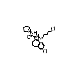 O=C(NN1CCCCC1)c1nn(CCCCCCl)c2c1CCCc1cc(Cl)ccc1-2